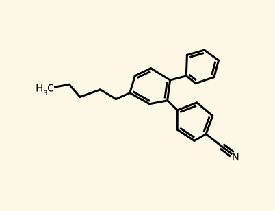 CCCCCc1ccc(-c2ccccc2)c(-c2ccc(C#N)cc2)c1